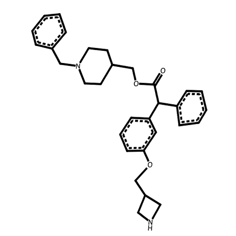 O=C(OCC1CCN(Cc2ccccc2)CC1)C(c1ccccc1)c1cccc(OCC2CNC2)c1